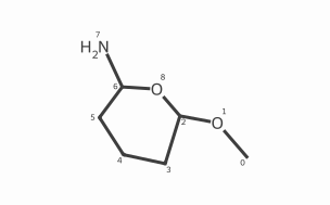 COC1CCCC(N)O1